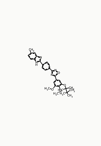 COc1cc(-c2nc(-c3ccc(-c4nc5cc(C)ccc5[nH]4)cc3)no2)cc(OC(C)(C)C(C)(C)C)c1OC